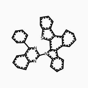 c1ccc(-c2nc(-n3c4ccccc4c4c5ccccc5c5c6ccccc6sc5c43)nc3ccccc23)cc1